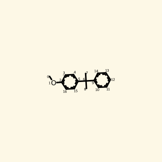 COc1[c]cc(C(C)(C)c2ccccc2)cc1